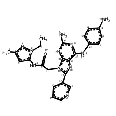 CCn1nc(C)cc1NC(=O)Cn1c(-c2cccnc2)nc2c(Nc3ccc(N)cc3)nc(N)nc21